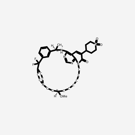 CO[C@@H]1CCCCCCn2c(=O)c(C3CCS(=O)(=O)CC3)cc3c(ncnc32)N[C@H](C)c2cccc(c2)C(F)(F)C2CCN(CC2)CC1